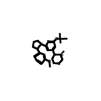 COc1cccc(C2CCCN2c2cc(N3CCOC[C@H]3C)cc(OC(C)(C)C)n2)c1